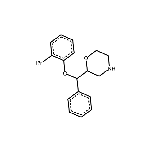 CC(C)c1ccccc1OC(c1ccccc1)C1CNCCO1